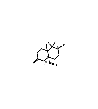 C=C1CC[C@@H]2C(C)(C)[C@@H](Br)CC[C@]2(C=O)[C@@H]1C